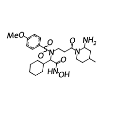 COc1ccc(S(=O)(=O)N(CCC(=O)N2CCC(C)CC2N)C(C(=O)NO)C2CCCCC2)cc1